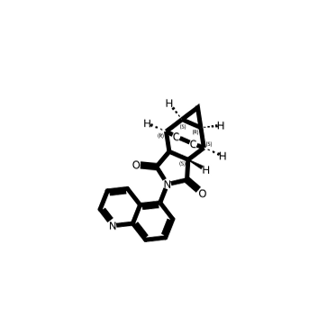 O=C1C2[C@@H](C(=O)N1c1cccc3ncccc13)[C@H]1CC[C@@H]2[C@H]2C[C@@H]12